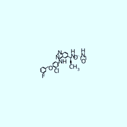 CC#CC(NOC[C@H]1COCCN1)c1ccc2ncnc(Nc3ccc(OCc4cccc(F)c4)c(Cl)c3)c2c1